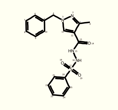 Cc1nn(Cc2ccccc2)cc1C(=O)NNS(=O)(=O)c1ccccc1